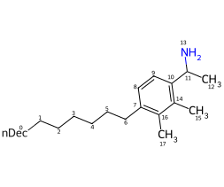 CCCCCCCCCCCCCCCCc1ccc(C(C)N)c(C)c1C